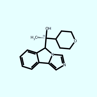 C[C@](O)(C1CCOCC1)C1c2ccccc2-c2cncn21